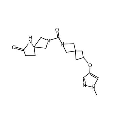 Cn1cc(OC2CC3(C2)CN(C(=O)N2CC4(CCC(=O)N4)C2)C3)cn1